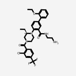 CCOc1ccccc1-c1ccc(N2CCN(C(=O)c3ccc(C(F)(F)F)cc3Cl)C[C@H]2CC)c(C(=O)NCCN)c1